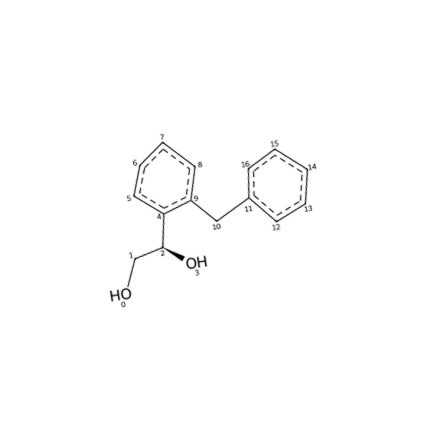 OC[C@H](O)c1ccccc1Cc1ccccc1